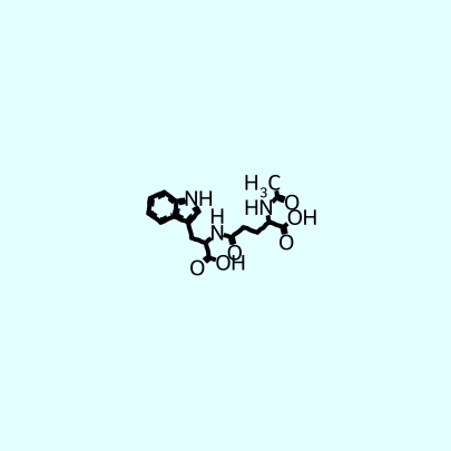 CC(=O)NC(CCC(=O)NC(Cc1c[nH]c2ccccc12)C(=O)O)C(=O)O